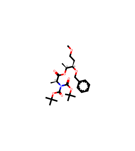 COCC[C@@H](OCc1ccccc1)[C@H](C)OC(=O)[C@H](C)N(C(=O)OC(C)(C)C)C(=O)OC(C)(C)C